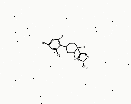 CN1CN(c2c(F)cc(Br)cc2Cl)CCC1(C)c1cnn(C)c1